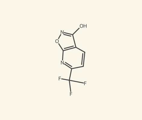 Oc1noc2nc(C(F)(F)F)ccc12